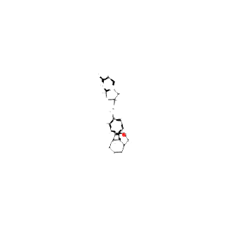 CC1(c2ccc(OCC3Cn4ccc(=O)nc4O3)cc2)C2CCCC1CCC2